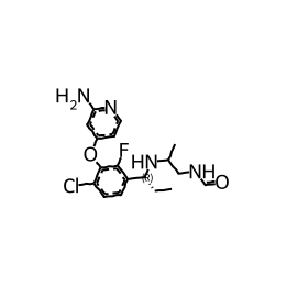 CC[C@@H](NC(C)CNC=O)c1ccc(Cl)c(Oc2ccnc(N)c2)c1F